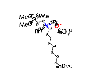 CCCCCCCCCCCCCCCCCC[N+](CCC)(CCC)CC[Si](OC)(OC)OC.O=S(=O)([O-])O